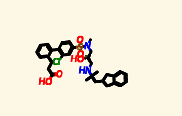 CN(C[C@H](O)CNC(C)(C)CC1Cc2ccccc2C1)S(=O)(=O)c1ccc(-c2ccccc2CCC(=O)O)c(Cl)c1